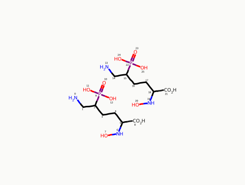 NCC(CCC(NO)C(=O)O)P(=O)(O)O.NCC(CCC(NO)C(=O)O)P(=O)(O)O